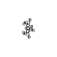 COCCc1cc2c(cc1OC(C)=O)Oc1cc(OC(C)=O)c(CCOC)cc1C21OC(=O)c2ccccc21